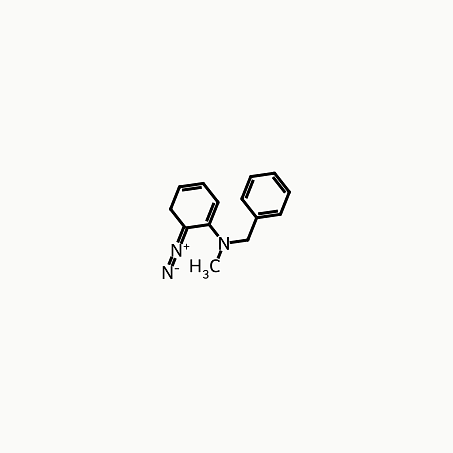 CN(Cc1ccccc1)C1=CC=CCC1=[N+]=[N-]